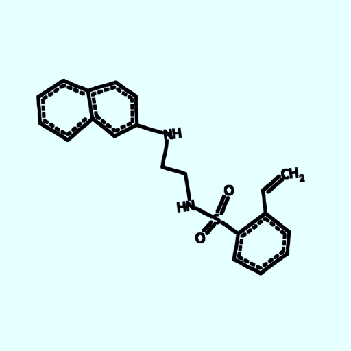 C=Cc1ccccc1S(=O)(=O)NCCNc1ccc2ccccc2c1